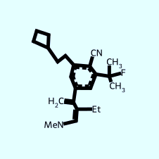 C=C(/C(=C\NC)CC)c1cc(CCC2CCC2)c(C#N)c(C(C)(C)F)c1